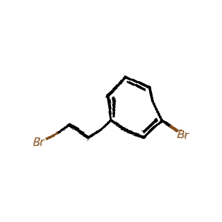 BrC[CH]c1cccc(Br)c1